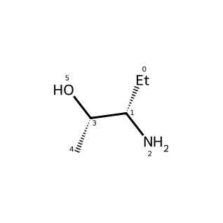 CC[C@H](N)[C@H](C)O